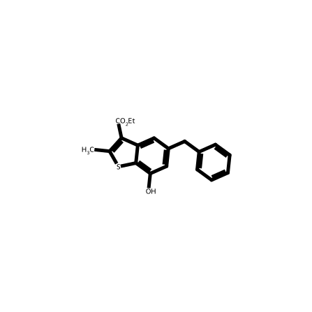 CCOC(=O)c1c(C)sc2c(O)cc(Cc3ccccc3)cc12